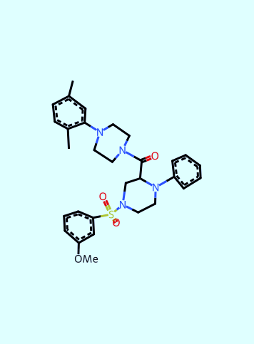 COc1cccc(S(=O)(=O)N2CCN(c3ccccc3)C(C(=O)N3CCN(c4cc(C)ccc4C)CC3)C2)c1